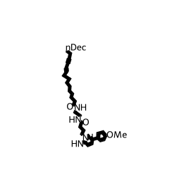 CCCCCCCCCCCCC#CC#CCCCCCCCCC(=O)NCCNC(=O)CCCn1nc(-c2ccc(OC)cc2)ccc1=N